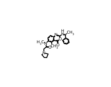 Cc1c(N(C)C(=O)CN2CCCC2)ccc2nc(N[C@@H](C)c3ccccc3)oc(=O)c12